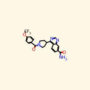 NC(=O)c1ccc2c(C3CCN(C(=O)c4ccc(OC(F)(F)F)cc4)CC3)ncnc2c1